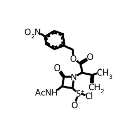 C=C(C)C(C(=O)OCc1ccc([N+](=O)[O-])cc1)N1C(=O)C(NC(C)=O)C1[S+]([O-])Cl